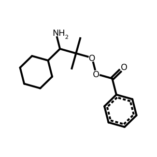 CC(C)(OOC(=O)c1ccccc1)C(N)C1CCCCC1